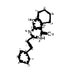 O=c1[nH]c(/C=C/c2ccccc2)nc2sc3c(c12)CCCC3